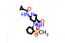 CS(=O)(=O)c1ccccc1-n1[nH]c(=O)c2cnc(NC(=O)C3CC3)cc21